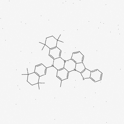 Cc1cc2c3c(c1)-n1c4sc5ccccc5c4c4cccc(c41)B3c1cc3c(cc1N2c1ccc2c(c1)C(C)(C)CCC2(C)C)C(C)(C)CCC3(C)C